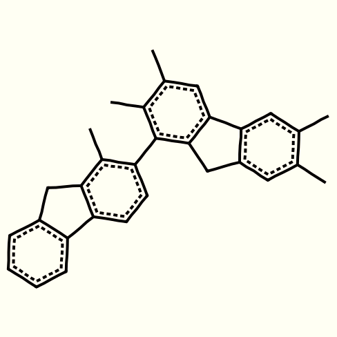 Cc1cc2c(cc1C)-c1cc(C)c(C)c(-c3ccc4c(c3C)Cc3ccccc3-4)c1C2